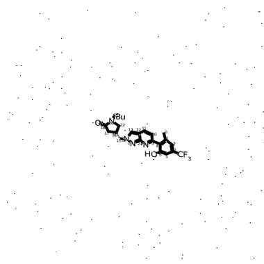 Cc1cc(C(F)(F)F)cc(O)c1-c1ccc2cn(C[C@@H]3CC(=O)N(C(C)(C)C)C3)nc2n1